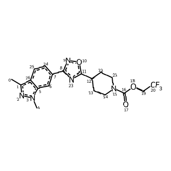 Cc1nn(C)c2cc(-c3noc(C4CCN(C(=O)OCC(F)(F)F)CC4)n3)ccc12